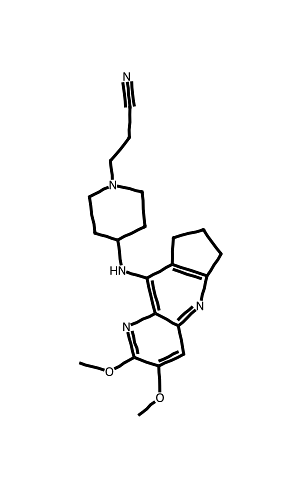 COc1cc2nc3c(c(NC4CCN(CCC#N)CC4)c2nc1OC)CCC3